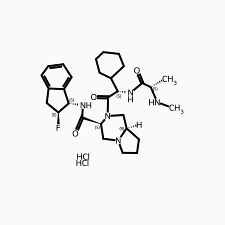 CN[C@@H](C)C(=O)N[C@H](C(=O)N1C[C@H]2CCCN2C[C@H]1C(=O)N[C@H]1c2ccccc2C[C@@H]1F)C1CCCCC1.Cl.Cl